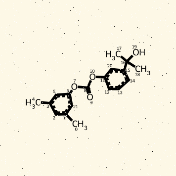 Cc1cc(C)cc(OC(=O)Oc2cccc(C(C)(C)O)c2)c1